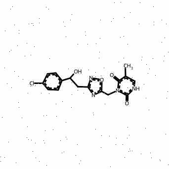 Cc1c[nH]c(=O)n(Cc2nc(CC(O)c3ccc(Cl)cc3)no2)c1=O